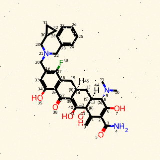 C=C1C(C(N)=O)=C(O)[C@@H](N(C)C)[C@@H]2C[C@@H]3Cc4c(F)c(CN(Cc5ccccc5)CC5CC5)cc(O)c4C(=O)C3=C(O)[C@]12O